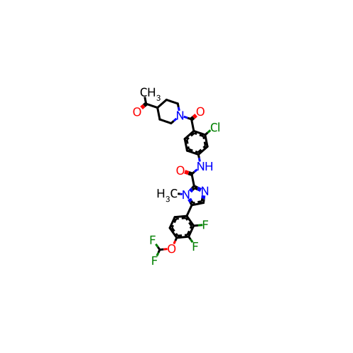 CC(=O)C1CCN(C(=O)c2ccc(NC(=O)c3ncc(-c4ccc(OC(F)F)c(F)c4F)n3C)cc2Cl)CC1